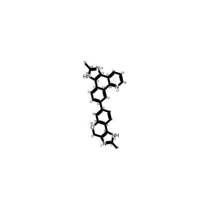 Cc1nc2c([nH]1)-c1ccc(-c3ccc4c(c3)c3ncccc3c3nc(C)[nH]c43)cc1OC2